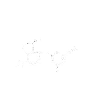 CS(=O)(=O)c1ccc(Oc2cc(F)cc(C#N)c2)c2c1CC[C@H]2O